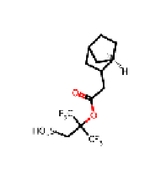 O=C(CC1CC2CC[C@@H]1C2)OC(CS(=O)(=O)O)(C(F)(F)F)C(F)(F)F